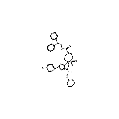 O=C(CC1(c2ccc(-c3ccc(F)cc3)s2)CCN(C(=O)OCC2c3ccccc3-c3ccccc32)CCS1(=O)=O)NOC1CCCCO1